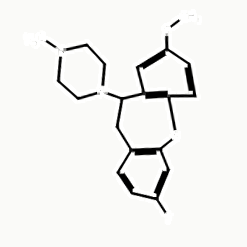 CSc1ccc2c(c1)C(N1CCN(C)CC1)Cc1ccc(F)cc1S2